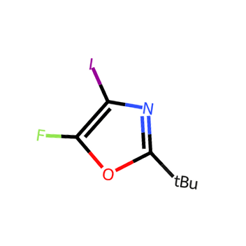 CC(C)(C)c1nc(I)c(F)o1